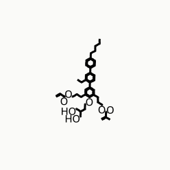 C=CC(=O)OCCCc1cc(-c2ccc(-c3ccc(CCCCC)cc3)cc2CC)cc(CCCOC(=O)C(=C)C)c1OCCC(CO)CO